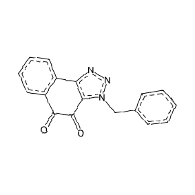 O=C1C(=O)c2c(nnn2Cc2ccccc2)-c2ccccc21